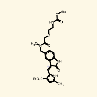 CCOC(=O)c1cc(C)[nH]c1/C=C1\C(=O)Nc2ccc(CN(C)C(=O)COCCNC(=O)OC(C)(C)C)cc21